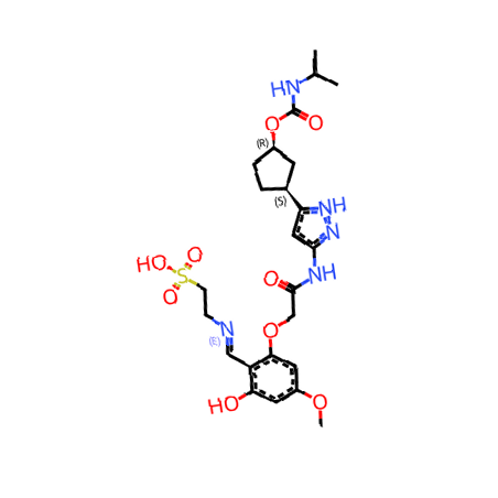 COc1cc(O)c(/C=N/CCS(=O)(=O)O)c(OCC(=O)Nc2cc([C@H]3CC[C@@H](OC(=O)NC(C)C)C3)[nH]n2)c1